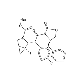 CC(C)(C)OC(=O)N1CC2C[C@@H]2[C@H]1C(C(=O)N1C(=O)OC[C@H]1Cc1ccccc1)c1ccc(Cl)cc1